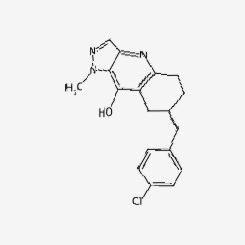 Cn1ncc2nc3c(c(O)c21)CC(Cc1ccc(Cl)cc1)CC3